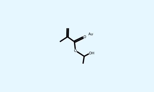 C=C(C)C(=O)OC(C)O.[Au]